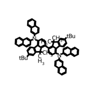 CC(C)(C)c1ccc2c(c1)C(C)(C)c1c(-c3ccc(N(c4ccc5ccccc5c4)c4ccc5ccccc5c4)c4c3C(C)(C)c3cc(C(C)(C)C)ccc3-4)ccc(N(c3ccc4ccccc4c3)c3ccc4ccccc4c3)c1-2